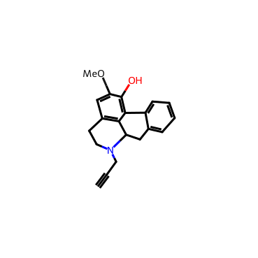 C#CCN1CCc2cc(OC)c(O)c3c2C1Cc1ccccc1-3